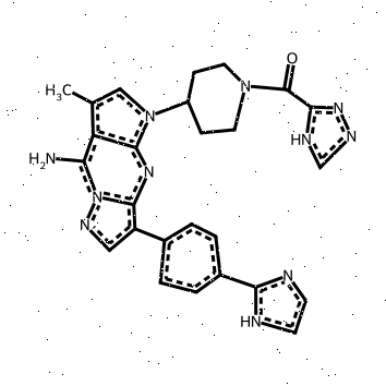 Cc1cn(C2CCN(C(=O)c3nnc[nH]3)CC2)c2nc3c(-c4ccc(-c5ncc[nH]5)cc4)cnn3c(N)c12